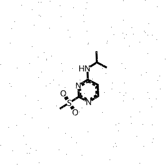 CC(C)Nc1ccnc(S(C)(=O)=O)n1